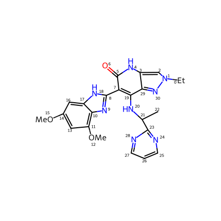 CCn1cc2[nH]c(=O)c(-c3nc4c(OC)cc(OC)cc4[nH]3)c(NC(C)c3ncccn3)c2n1